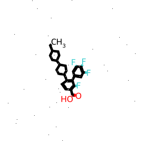 CCC1CCC(C2CCC(c3ccc(C(=O)O)c(F)c3-c3cc(F)c(F)c(F)c3)CC2)CC1